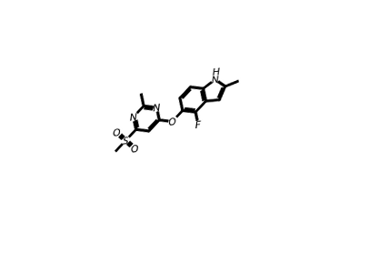 Cc1nc(Oc2ccc3[nH]c(C)cc3c2F)cc(S(C)(=O)=O)n1